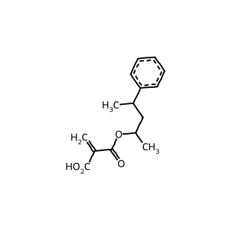 C=C(C(=O)O)C(=O)OC(C)CC(C)c1ccccc1